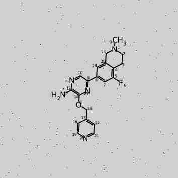 CN1CCc2c(F)cc(-c3cnc(N)c(OCc4ccncc4)n3)cc2C1